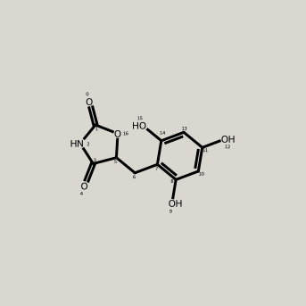 O=C1NC(=O)C(Cc2c(O)cc(O)cc2O)O1